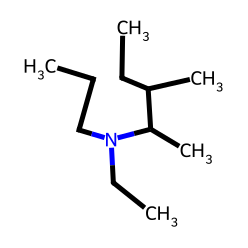 CCCN(CC)C(C)C(C)CC